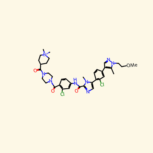 COCCn1ncc(-c2ccc(-c3cnc(C(=O)Nc4ccc(C(=O)N5CCN(C(=O)C6CC[N+](C)(C)CC6)CC5)c(Cl)c4)n3C)c(Cl)c2)c1C